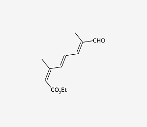 CCOC(=O)C=C(C)C=CC=C(C)C=O